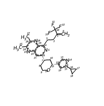 C=C(CCc1nc([C@H]2CCO[C@@H](c3cnn(C4CC4)c3)C2)cc2nc(C)c(C)nc12)C(F)(F)F